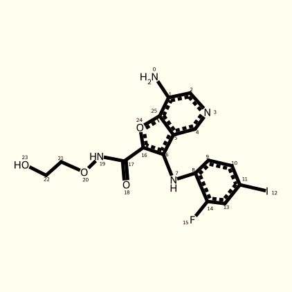 Nc1cncc2c(Nc3ccc(I)cc3F)c(C(=O)NOCCO)oc12